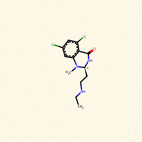 CCNCC[C@@H]1NC(=O)c2c(Cl)cc(Cl)cc2N1C